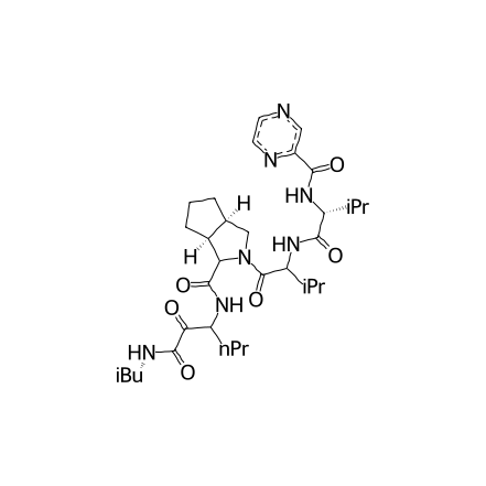 CCCC(NC(=O)C1[C@H]2CCC[C@H]2CN1C(=O)C(NC(=O)[C@H](NC(=O)c1cnccn1)C(C)C)C(C)C)C(=O)C(=O)N[C@@H](C)CC